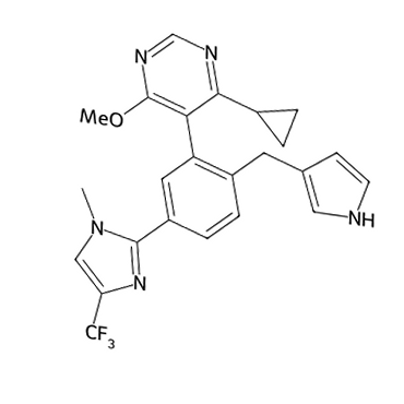 COc1ncnc(C2CC2)c1-c1cc(-c2nc(C(F)(F)F)cn2C)ccc1Cc1cc[nH]c1